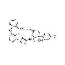 Nc1nc(-c2cccc3c2CC(=CCCN2CCC(O)(c4ccc(Cl)cc4)CC2)c2cccnc2O3)cs1